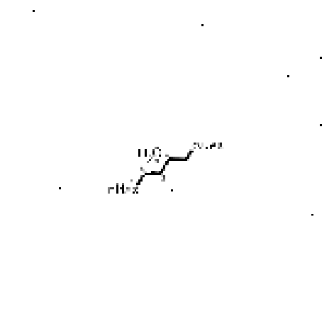 CCCCCCCCCCCCCCCC.O